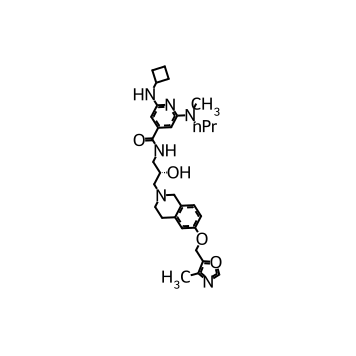 CCCN(C)c1cc(C(=O)NC[C@H](O)CN2CCc3cc(OCc4ocnc4C)ccc3C2)cc(NC2CCC2)n1